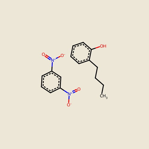 CCCCc1ccccc1O.O=[N+]([O-])c1cccc([N+](=O)[O-])c1